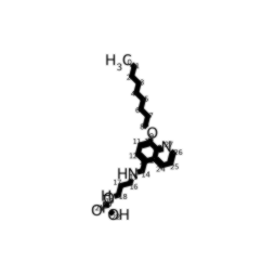 CCCCCCCCCOc1ccc(CNCCCO[PH](=O)O)c2cccnc12